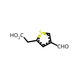 O=Cc1csc(CC(=O)O)c1